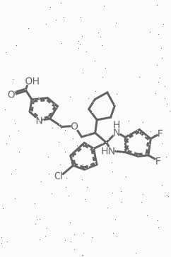 O=C(O)c1ccc(COCC(C2CCCCC2)C2(c3ccc(Cl)cc3)Nc3cc(F)c(F)cc3N2)nc1